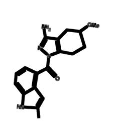 COC1CCc2c(c(N)nn2C(=O)c2cccc3[nH]c(C)cc23)C1